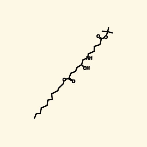 CCCCCCCCCCCOC(=O)CCCC(O)CNCCCCC(=O)OC(C)(C)C